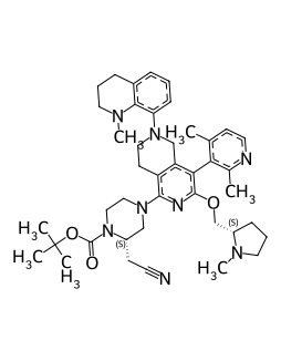 Cc1ccnc(C)c1-c1c(OC[C@@H]2CCCN2C)nc(N2CCN(C(=O)OC(C)(C)C)[C@@H](CC#N)C2)c2c1CN(c1cccc3c1N(C)CCC3)CC2